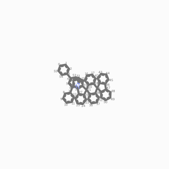 c1ccc(-c2cc(-c3ccccc3)nc(-c3cccc4c3C3(c5ccccc5-c5ccccc53)c3ccccc3C43c4ccccc4-c4ccccc43)c2)cc1